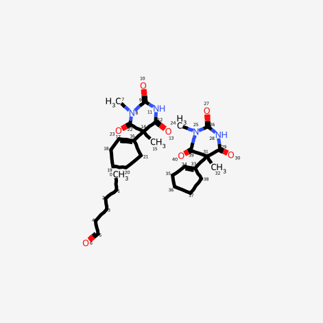 CCCCCC=O.CN1C(=O)NC(=O)C(C)(C2=CCCCC2)C1=O.CN1C(=O)NC(=O)C(C)(C2=CCCCC2)C1=O